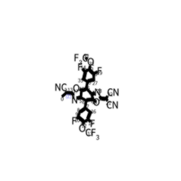 C/C(C#N)=c1\nc2c(-c3cc(F)c(OC(F)(F)F)c(F)c3)c3oc(=C(C#N)C#N)nc3c(-c3cc(F)c(OC(F)(F)F)c(F)c3)c2o1